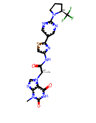 C[C@@H](C(=O)Nc1csc(-c2cnc(N3CCC[C@H]3C(F)(F)F)nc2)n1)n1cnc2c1c(=O)[nH]c(=O)n2C